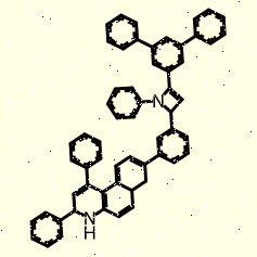 C1=CC2CC(c3cccc(C4C=C(c5cc(-c6ccccc6)cc(-c6ccccc6)c5)N4c4ccccc4)c3)=CC=C2C2=C1NC(c1ccccc1)C=C2c1ccccc1